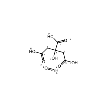 N=O.O=C(O)CC(O)(CC(=O)O)C(=O)O